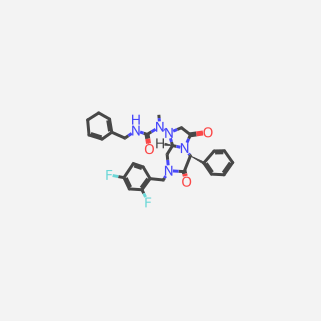 CN(C(=O)NCC1=CCCC=C1)N1CC(=O)N2[C@@H](c3ccccc3)C(=O)N(Cc3ccc(F)cc3F)C[C@@H]21